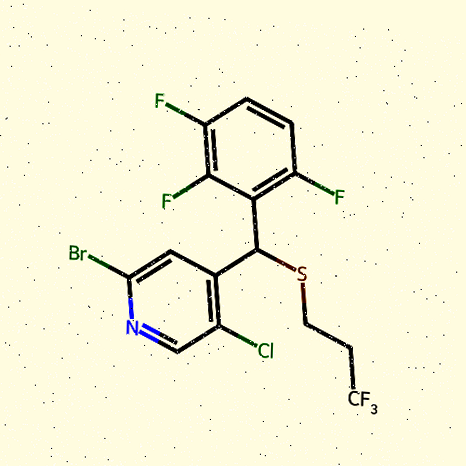 Fc1ccc(F)c(C(SCCC(F)(F)F)c2cc(Br)ncc2Cl)c1F